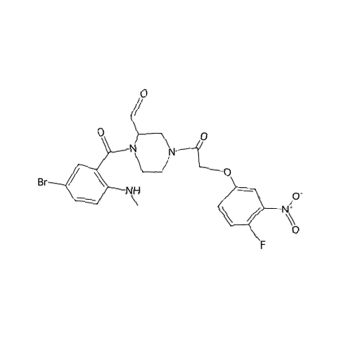 CNc1ccc(Br)cc1C(=O)N1CCN(C(=O)COc2ccc(F)c([N+](=O)[O-])c2)CC1C=O